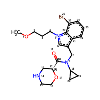 COCCCn1cc(CN(C(=O)[C@H]2CNCCO2)C2CC2)c2cccc(Br)c21